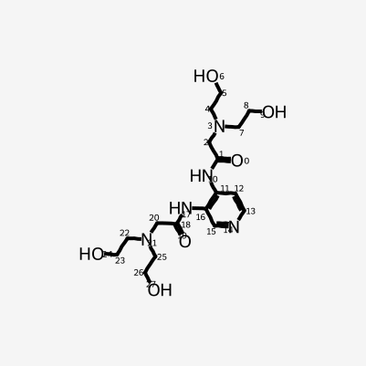 O=C(CN(CCO)CCO)Nc1ccncc1NC(=O)CN(CCO)CCO